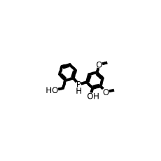 COc1cc(OC)c(O)c(Pc2ccccc2CO)c1